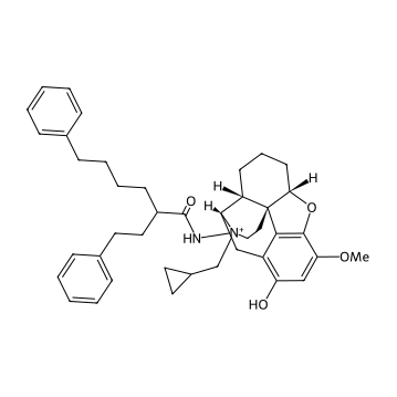 COc1cc(O)c2c3c1O[C@H]1CCC[C@H]4[C@@H](C2)[N+](CC2CC2)(NC(=O)C(CCCCc2ccccc2)CCc2ccccc2)CC[C@]314